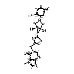 Cn1cnc2ncn(Cc3nc([C@H]4[C@@H]5CN(c6cc(Cl)ccc6F)C[C@@H]54)no3)c(=O)c21